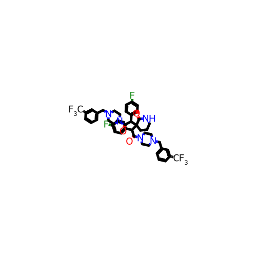 O=C(C(c1ccc(F)cc1)C1(C(C(=O)N2CCN(Cc3cccc(C(F)(F)F)c3)CC2)c2ccc(F)cc2)CCCNC1=O)N1CCN(Cc2cccc(C(F)(F)F)c2)CC1